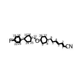 N#C/C=C/C=C/CC[C@H]1CC[C@H](OC[C@H]2CC[C@H](c3ccc(F)cc3)CC2)CC1